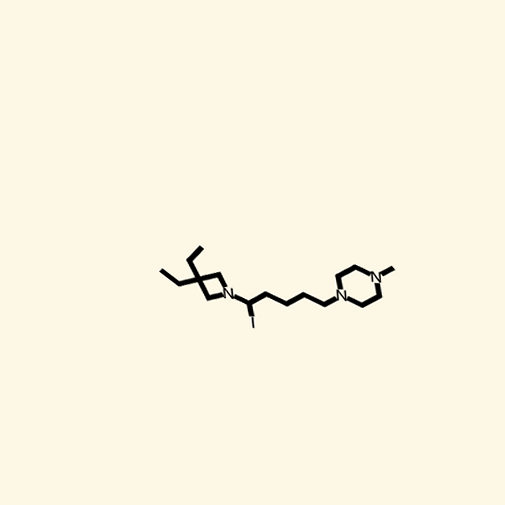 CCC1(CC)CN(C(I)CCCCN2CCN(C)CC2)C1